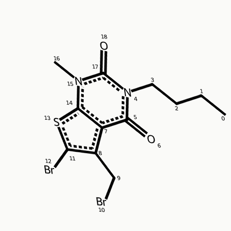 CCCCn1c(=O)c2c(CBr)c(Br)sc2n(C)c1=O